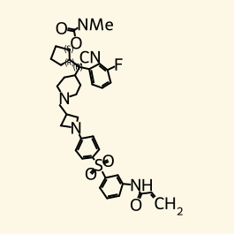 C=CC(=O)Nc1cccc(S(=O)(=O)c2ccc(N3CC(CN4CCC([C@](C#N)(c5cccc(F)c5)[C@H]5CCC[C@@H]5OC(=O)NC)CC4)C3)cc2)c1